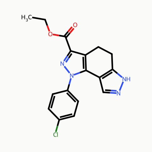 CCOC(=O)c1nn(-c2ccc(Cl)cc2)c2c1CCc1[nH]ncc1-2